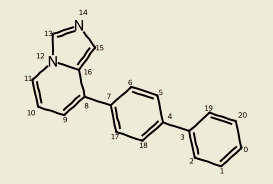 c1ccc(-c2ccc(-c3cccn4cncc34)cc2)cc1